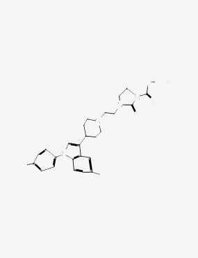 CCCCCCCCCCOC(=O)N1CCN(CCN2CCC(c3cn(-c4ccc(F)cc4)c4ccc(Cl)cc34)CC2)C1=O